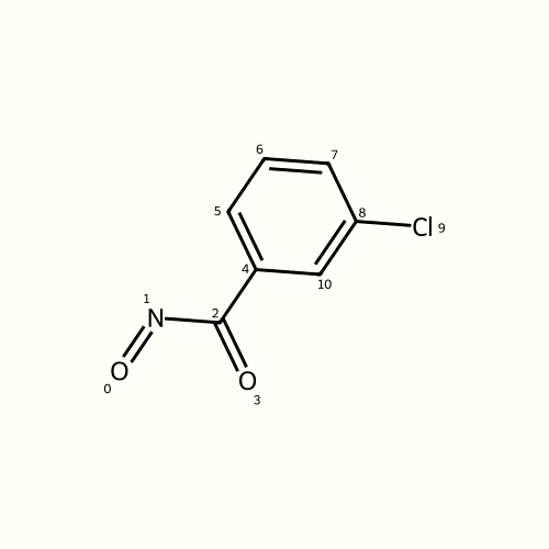 O=NC(=O)c1cccc(Cl)c1